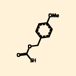 COc1ccc(COC(=O)S)cc1